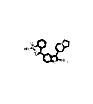 CCCCS(=O)(=O)c1ccccc1C(=O)c1ccc2oc(N)c(C3=CCN4CCCC4C3)c2c1